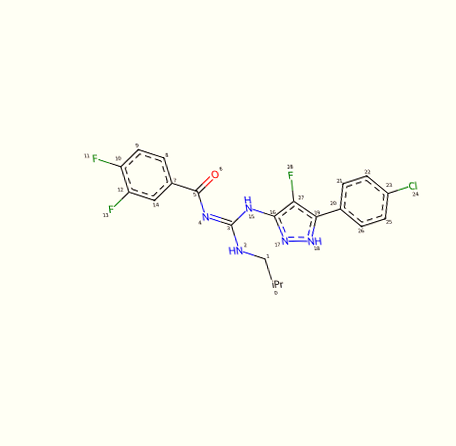 CC(C)CN/C(=N/C(=O)c1ccc(F)c(F)c1)Nc1n[nH]c(-c2ccc(Cl)cc2)c1F